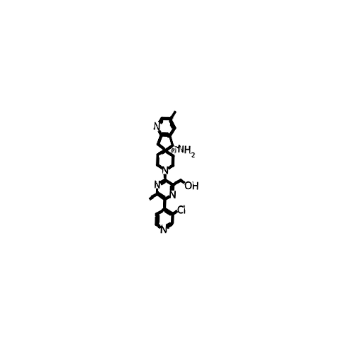 Cc1cnc2c(c1)[C@H](N)C1(CCN(c3nc(C)c(-c4ccncc4Cl)nc3CO)CC1)C2